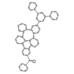 O=C(c1ccccc1)c1ccc2c(c1)c1cccc3c4ccc(-c5cc(-c6ccccc6)cc(-c6ccccc6)c5)cc4c4ccccc4c4cccc2c4c31